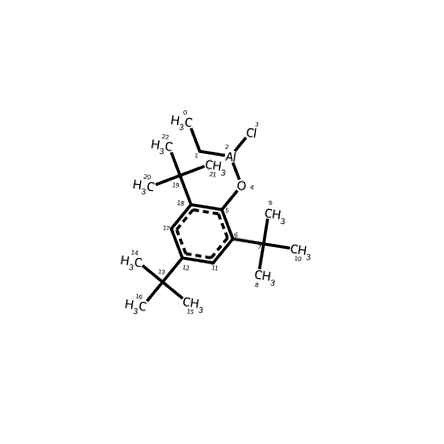 C[CH2][Al]([Cl])[O]c1c(C(C)(C)C)cc(C(C)(C)C)cc1C(C)(C)C